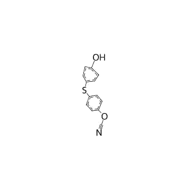 N#COc1ccc(Sc2ccc(O)cc2)cc1